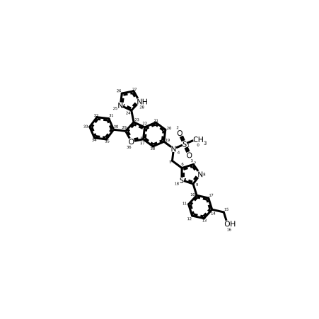 CS(=O)(=O)N(Cc1cnc(-c2cccc(CO)c2)s1)c1ccc2c(-c3ncc[nH]3)c(-c3ccccc3)oc2c1